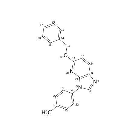 Cc1ccc(-n2cnc3ccc(OCc4ccccc4)nc32)cc1